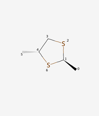 C[C@@H]1SC[C@@H](C)S1